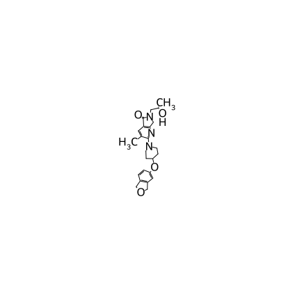 Cc1cc2c(nc1N1CCC(Oc3ccc4c(c3)COC4)CC1)CN(C[C@H](C)O)C2=O